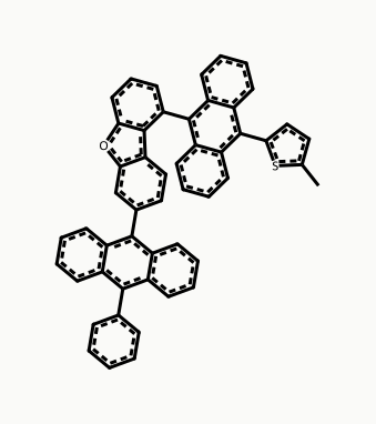 Cc1ccc(-c2c3ccccc3c(-c3cccc4oc5cc(-c6c7ccccc7c(-c7ccccc7)c7ccccc67)ccc5c34)c3ccccc23)s1